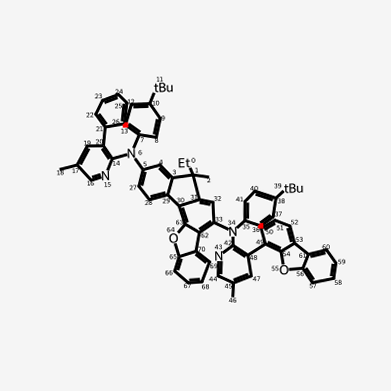 CCC1(C)c2cc(N(c3ccc(C(C)(C)C)cc3)c3ncc(C)cc3-c3ccccc3)ccc2-c2c1cc(N(c1ccc(C(C)(C)C)cc1)c1ncc(C)cc1-c1cccc3c1oc1ccccc13)c1c2oc2ccccc21